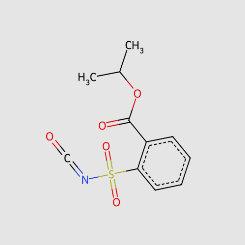 CC(C)OC(=O)c1ccccc1S(=O)(=O)N=C=O